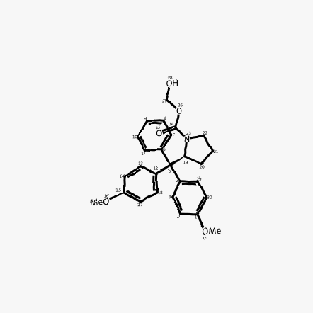 COc1ccc(C(c2ccccc2)(c2ccc(OC)cc2)[C@@H]2CCCN2C(=O)OCO)cc1